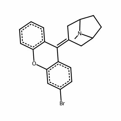 CN1C2CCC1CC(=C1c3ccccc3Oc3cc(Br)ccc31)C2